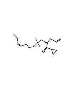 C=CCN(CC1(C)CC1CC/C=C\CC)C(=O)C1CC1